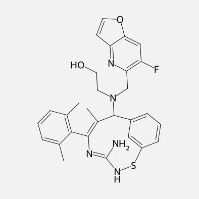 C/C1=C(c2c(C)cccc2C)/N=C(\N)NSc2cccc(c2)C1N(CCO)Cc1nc2ccoc2cc1F